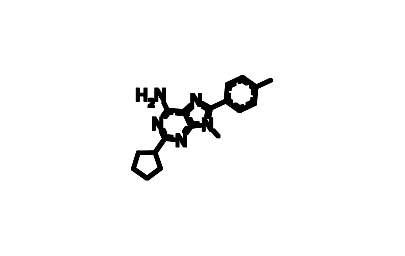 Cc1ccc(-c2nc3c(N)nc(C4CCCC4)nc3n2C)cc1